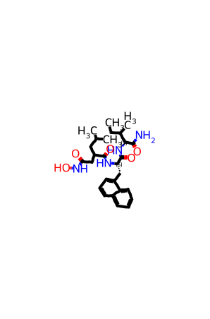 CCC(C)[C@H](NC(=O)[C@H](Cc1cccc2ccccc12)NC(=O)C(CC(=O)NO)CC(C)C)C(N)=O